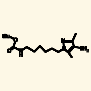 Bc1c(C)nn(CCCCCCNC(=O)OC(C)(C)C)c1C